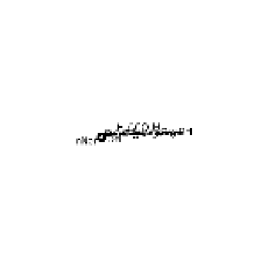 C=CC(=O)O.CCCCCCCCCc1ccc(OC(O)COCCOCCOCCOCCOCCOCCOCCO)cc1